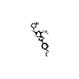 CCOc1ccc(-c2cn3nc(NC4CCNC4)cc(N)c3n2)cc1